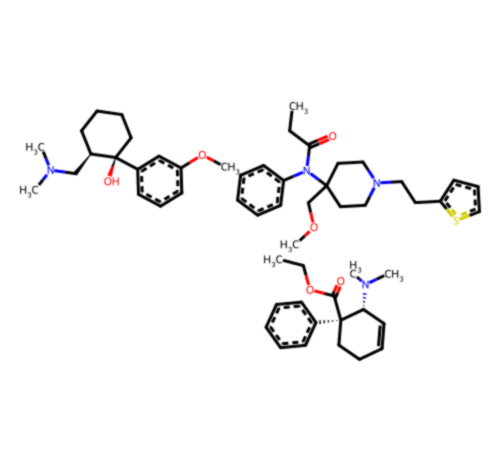 CCC(=O)N(c1ccccc1)C1(COC)CCN(CCc2cccs2)CC1.CCOC(=O)[C@]1(c2ccccc2)CCC=C[C@H]1N(C)C.COc1cccc([C@@]2(O)CCCC[C@@H]2CN(C)C)c1